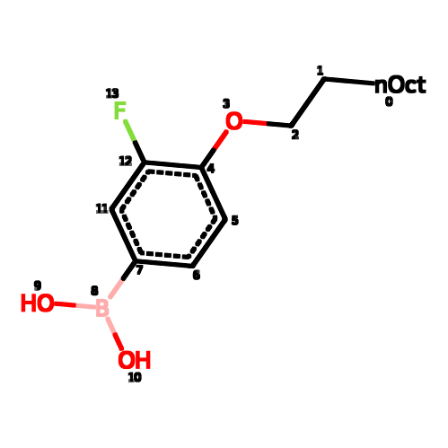 CCCCCCCCCCOc1ccc(B(O)O)cc1F